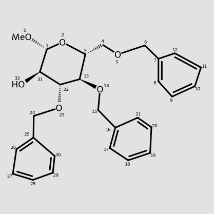 CO[C@@H]1O[C@H](COCc2ccccc2)[C@@H](OCc2ccccc2)[C@H](OCc2ccccc2)[C@H]1O